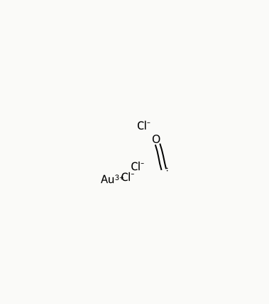 [Au+3].[C]=O.[Cl-].[Cl-].[Cl-]